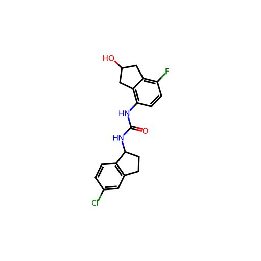 O=C(Nc1ccc(F)c2c1CC(O)C2)NC1CCc2cc(Cl)ccc21